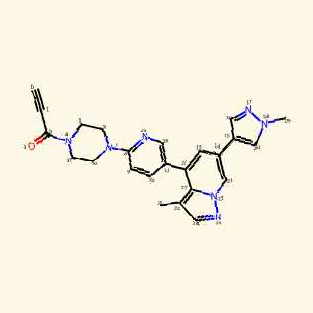 C#CC(=O)N1CCN(c2ccc(-c3cc(-c4cnn(C)c4)cn4ncc(C)c34)cn2)CC1